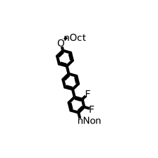 CCCCCCCCCc1ccc(-c2ccc(-c3ccc(OCCCCCCCC)cc3)cc2)c(F)c1F